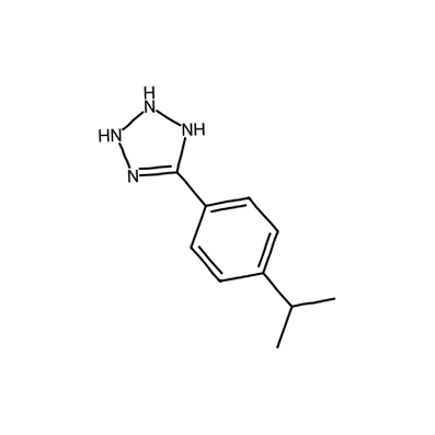 CC(C)c1ccc(C2=NNNN2)cc1